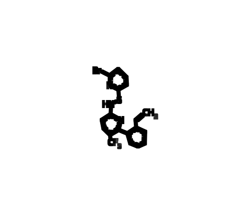 C=Cc1ccccc1-c1nc(NSc2cccc(Br)n2)ccc1C(F)(F)F